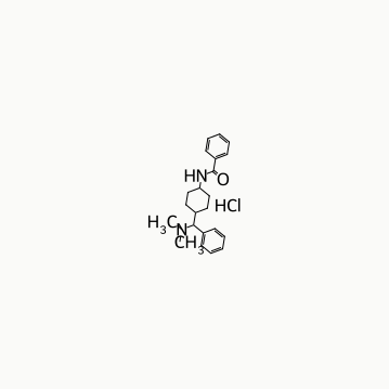 CN(C)C(c1ccccc1)C1CCC(NC(=O)c2ccccc2)CC1.Cl